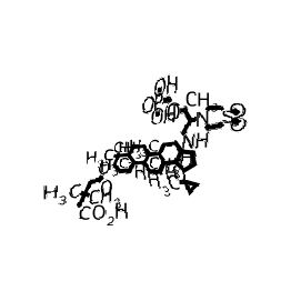 CC(OCP(=O)(O)O)C(CN[C@]12CC[C@@H](C3(C)CC3)[C@@H]1[C@H]1CC[C@@H]3[C@@]4(C)CC[C@H](OC(=O)CC(C)(C)CC(=O)O)C(C)(C)[C@@H]4CC[C@@]3(C)[C@]1(C)CC2)N1CCS(=O)(=O)CC1